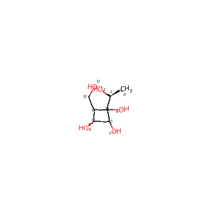 C[C@H](O)C1(O)C(O)[C@@H](O)C1CO